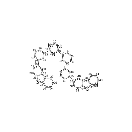 c1cc(-c2cccc(-c3ncnc(-c4cccc(-c5ccc6sc7ccccc7c6c5)c4)n3)c2)cc(-c2ccc3oc4ncccc4c3c2)c1